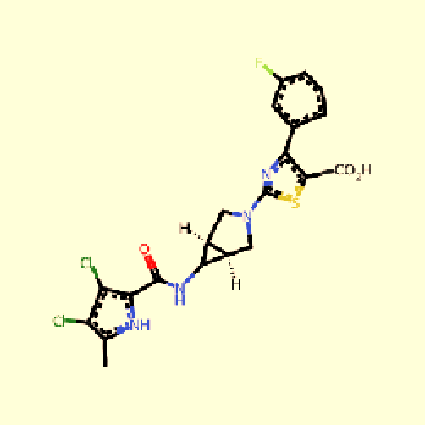 Cc1[nH]c(C(=O)NC2[C@H]3CN(c4nc(-c5cccc(F)c5)c(C(=O)O)s4)C[C@@H]23)c(Cl)c1Cl